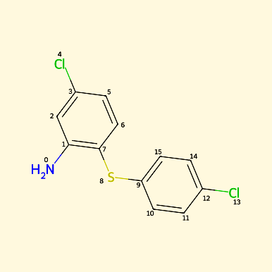 Nc1cc(Cl)ccc1Sc1ccc(Cl)cc1